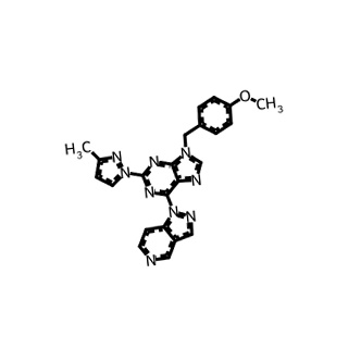 COc1ccc(Cn2cnc3c(-n4ncc5cnccc54)nc(-n4ccc(C)n4)nc32)cc1